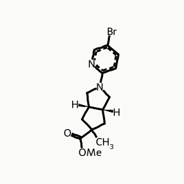 COC(=O)C1(C)C[C@H]2CN(c3ccc(Br)cn3)C[C@H]2C1